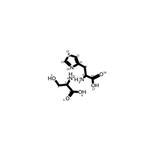 NC(CO)C(=O)O.NC(Cc1cscn1)C(=O)O